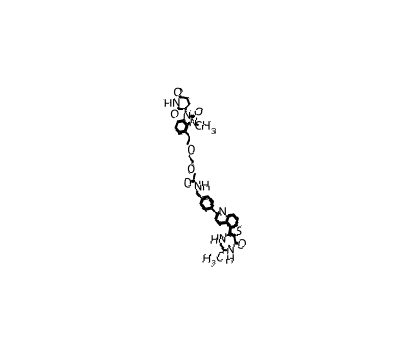 C[C@@H]1CNc2c(sc3ccc4nc(-c5ccc(CNC(=O)COCCOCCc6cccc7c6n(C)c(=O)n7C6CCC(=O)NC6=O)cc5)ccc4c23)C(=O)N1